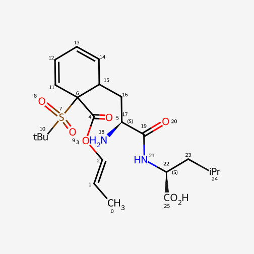 CC=COC(=O)C1(S(=O)(=O)C(C)(C)C)C=CC=CC1C[C@H](N)C(=O)N[C@@H](CC(C)C)C(=O)O